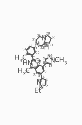 CCn1ccc(-c2cc(-c3cnn(C)c3)cc([C@@H](C)NC(=O)c3cc(N4CCN5CCC[C@@H]5C4)ccc3C)c2)n1